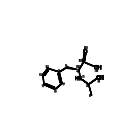 CC(O)N[C@@H](Cc1ccccc1)C(=O)O